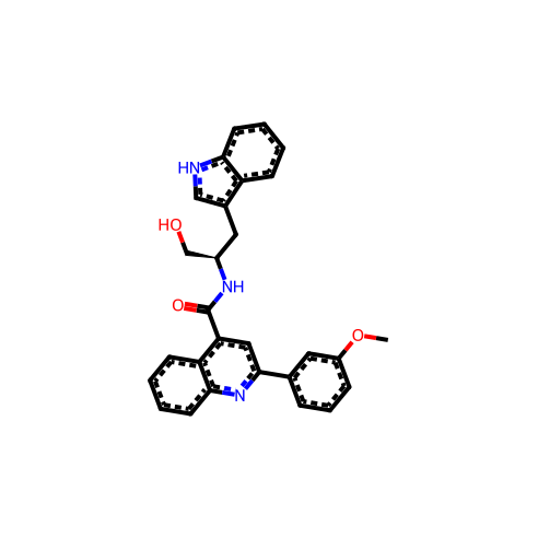 COc1cccc(-c2cc(C(=O)N[C@@H](CO)Cc3c[nH]c4ccccc34)c3ccccc3n2)c1